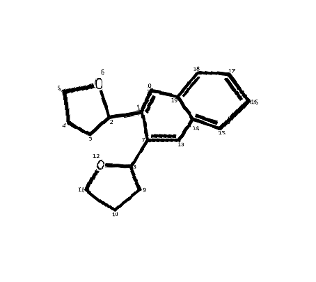 [c]1c(C2CCCO2)c(C2CCCO2)cc2ccccc12